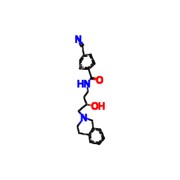 N#Cc1ccc(C(=O)NCCC(O)CN2CCc3ccccc3C2)cc1